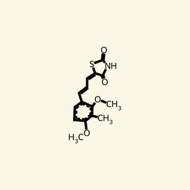 COc1ccc(C=CC=C2SC(=O)NC2=O)c(OC)c1C